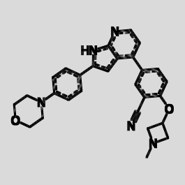 CN1CC(Oc2ccc(-c3ccnc4[nH]c(-c5ccc(N6CCOCC6)cc5)cc34)cc2C#N)C1